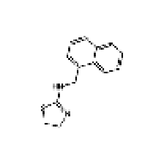 c1ccc2c(CNC3=NCCS3)cccc2c1